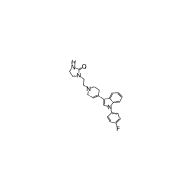 O=C1NCCN1CCN1CC=C(c2cn(-c3ccc(F)cc3)c3ccccc23)CC1